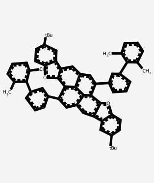 Cc1cccc(C)c1-c1cccc(-c2cc3cc4c5cc(C(C)(C)C)ccc5oc4c4c(-c5cccc(-c6c(C)cccc6C)c5)cc5cc6c7cc(C(C)(C)C)ccc7oc6c2c5c34)c1